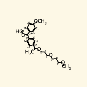 C=C(OCCCOCCCOC)c1ccc(C(OO)c2ccc(OC)cc2)cc1